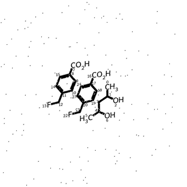 CC(O)CC(C)O.O=C(O)c1ccc(CF)cc1.O=C(O)c1ccc(CF)cc1